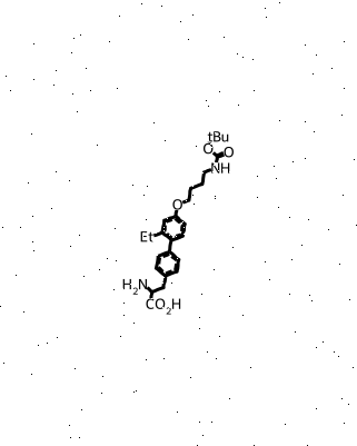 CCc1cc(OCCCCNC(=O)OC(C)(C)C)ccc1-c1ccc(CC(N)C(=O)O)cc1